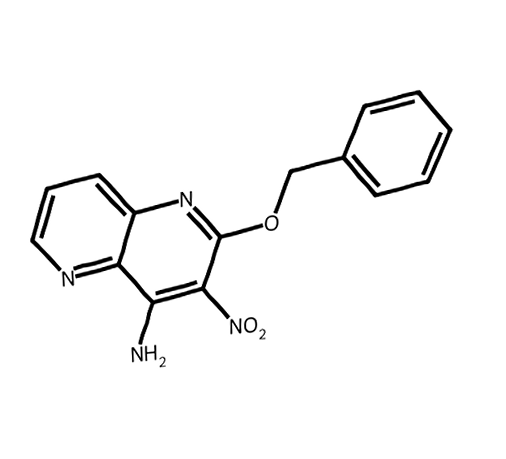 Nc1c([N+](=O)[O-])c(OCc2ccccc2)nc2cccnc12